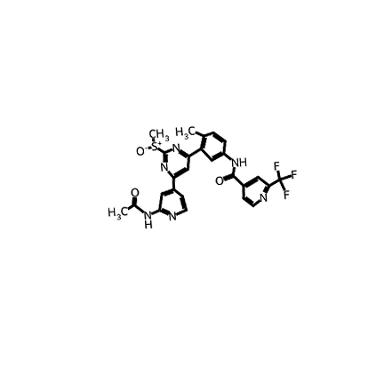 CC(=O)Nc1cc(-c2cc(-c3cc(NC(=O)c4ccnc(C(F)(F)F)c4)ccc3C)nc([S+](C)[O-])n2)ccn1